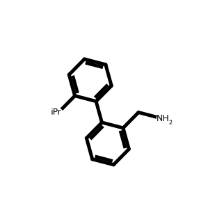 CC(C)c1ccccc1-c1ccccc1CN